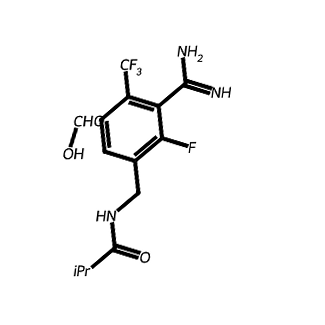 CC(C)C(=O)NCc1ccc(C(F)(F)F)c(C(=N)N)c1F.O=CO